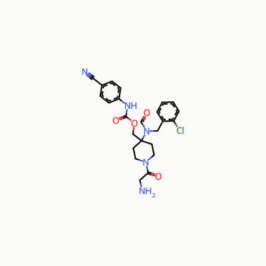 N#Cc1ccc(NC(=O)OCC2(N(C=O)Cc3ccccc3Cl)CCN(C(=O)CN)CC2)cc1